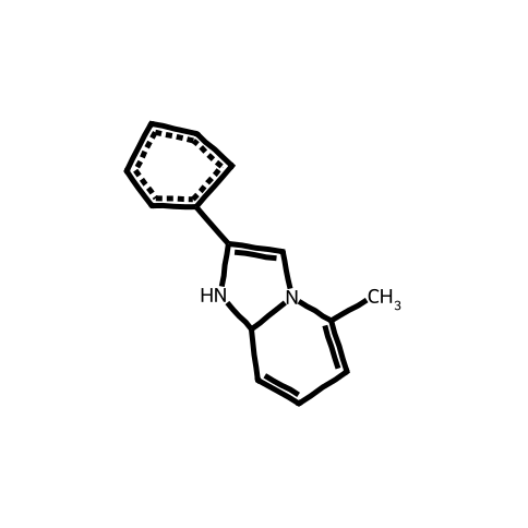 CC1=CC=CC2NC(c3ccccc3)=CN12